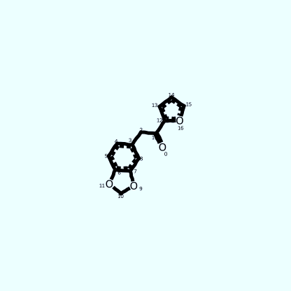 O=C(Cc1ccc2c(c1)OCO2)c1ccco1